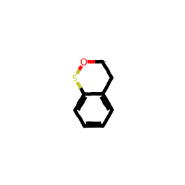 [CH]1Cc2ccccc2SO1